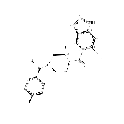 CC(c1ccc(F)cc1)N1CCN(C(=O)c2cc3cc[nH]c3cc2Cl)[C@H](C)C1